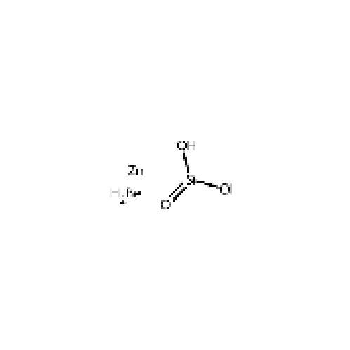 O=[Si](O)O.[BeH2].[Zn]